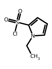 CCn1cccc1S(=O)(=O)Cl